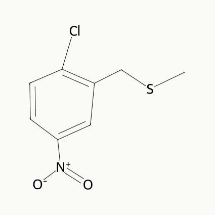 CSCc1cc([N+](=O)[O-])ccc1Cl